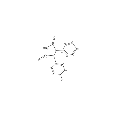 Cc1ccc(C2C(=O)NC(=O)N2c2ccccc2)cc1